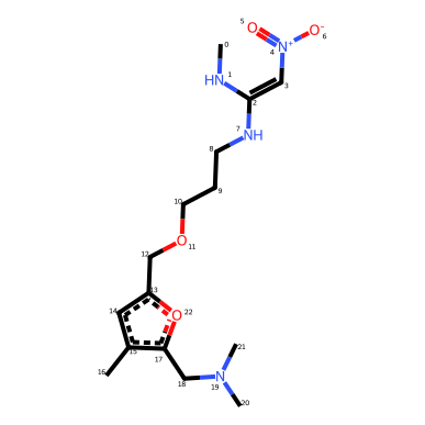 CN/C(=C\[N+](=O)[O-])NCCCOCc1cc(C)c(CN(C)C)o1